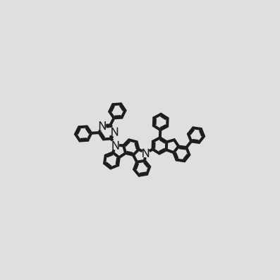 c1ccc(-c2cc(-n3c4ccccc4c4c5c6ccccc6n(-c6cc(-c7ccccc7)c7c(c6)-c6cccc(-c8ccccc8)c6C7)c5ccc43)nc(-c3ccccc3)n2)cc1